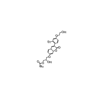 CCc1cc(OCCO)ccc1C1=CC2C=CC(OCC(O)COC(=O)C(C)CC)=CC2OC1=O